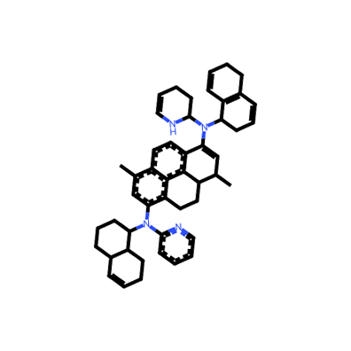 Cc1cc(N(c2ccccn2)C2CCCC3C=CCCC32)c2c3c4c(ccc13)C(N(C1CCC=CN1)C1CC=CC3=C1C=CCC3)=CC(C)C4CC2